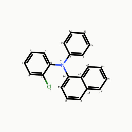 Clc1ccccc1N(c1ccccc1)c1cccc2ccccc12